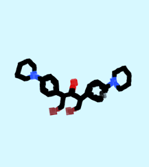 O=C(C(CBr)c1ccc(N2CCCCC2)cc1)C(CBr)c1ccc(N2CCCCC2)cc1